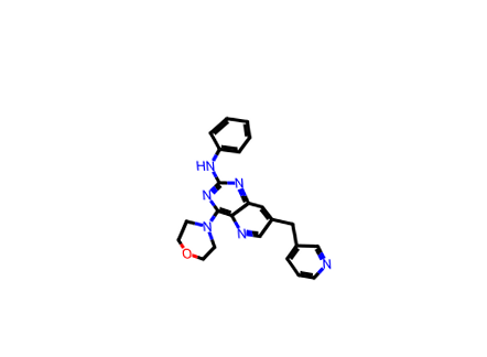 c1ccc(Nc2nc(N3CCOCC3)c3ncc(Cc4cccnc4)cc3n2)cc1